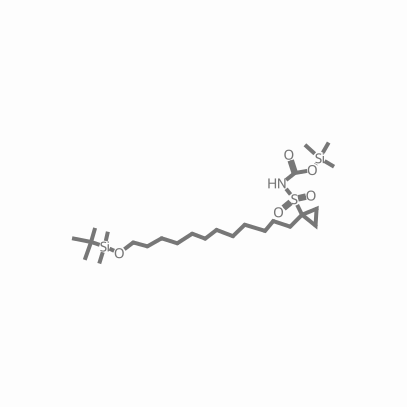 CC(C)(C)[Si](C)(C)OCCCCCCCCCCCCC1(S(=O)(=O)NC(=O)O[Si](C)(C)C)CC1